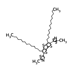 CCCCCCCCCCCCCCc1c(-c2cnc(C)s2)sc2c1sc1c(CCCCCCCCCCCCCC)c(-c3cnc(C)s3)sc12